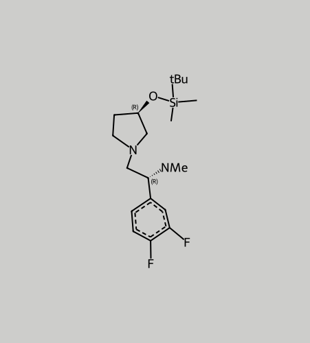 CN[C@@H](CN1CC[C@@H](O[Si](C)(C)C(C)(C)C)C1)c1ccc(F)c(F)c1